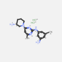 CCCc1cc(N2CCC[C@@H](N)C2)nc(Nc2cc(N)cc(C#N)c2)n1.Cl.Cl